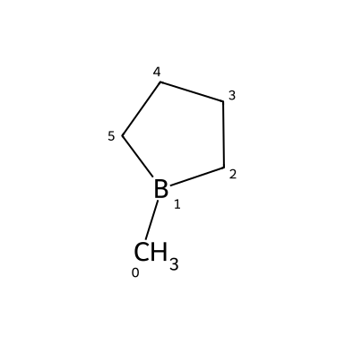 CB1CCCC1